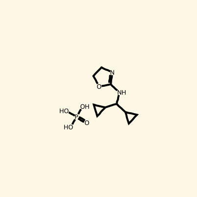 C1COC(NC(C2CC2)C2CC2)=N1.O=P(O)(O)O